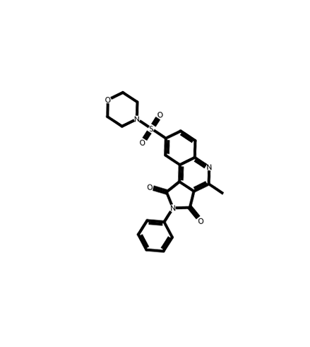 Cc1nc2ccc(S(=O)(=O)N3CCOCC3)cc2c2c1C(=O)N(c1ccccc1)C2=O